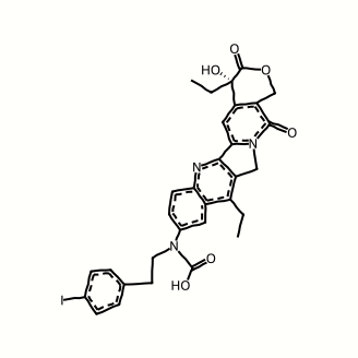 CCc1c2c(nc3ccc(N(CCc4ccc(I)cc4)C(=O)O)cc13)-c1cc3c(c(=O)n1C2)COC(=O)[C@]3(O)CC